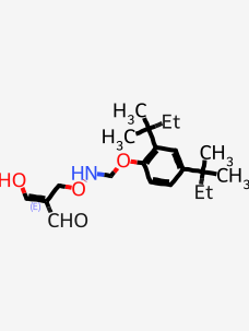 CCC(C)(C)c1ccc(OCNOC/C(C=O)=C\O)c(C(C)(C)CC)c1